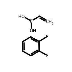 C=CB(O)O.Fc1ccccc1F